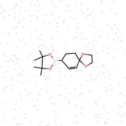 CC1(C)OB(C2C=CC3(CC2)OCCO3)OC1(C)C